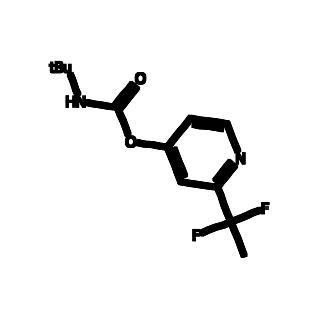 CC(C)(C)NC(=O)Oc1ccnc(C(C)(F)F)c1